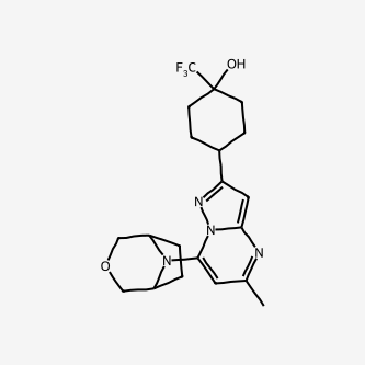 Cc1cc(N2C3CCC2COC3)n2nc(C3CCC(O)(C(F)(F)F)CC3)cc2n1